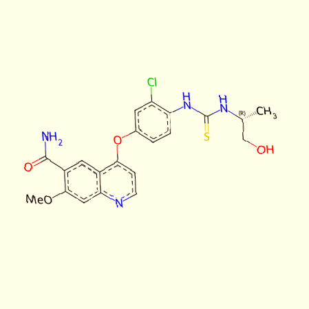 COc1cc2nccc(Oc3ccc(NC(=S)N[C@H](C)CO)c(Cl)c3)c2cc1C(N)=O